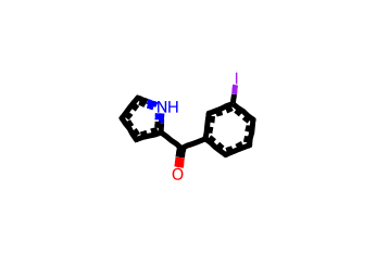 O=C(c1cccc(I)c1)c1ccc[nH]1